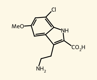 COc1cc(Cl)c2[nH]c(C(=O)O)c(CCN)c2c1